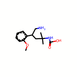 COc1ccccc1C(CN)CC(C)(C)NC(=O)O